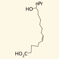 CCCC(O)CCCCCC/C=C\CCCCC(=O)O